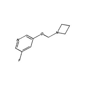 Fc1cncc(OCN2CCC2)c1